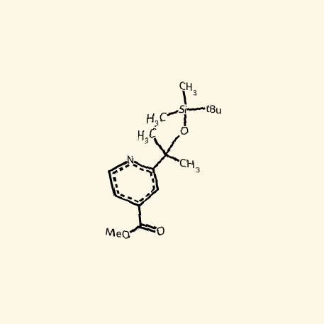 COC(=O)c1ccnc(C(C)(C)O[Si](C)(C)C(C)(C)C)c1